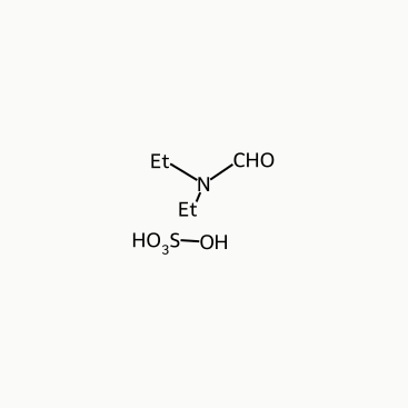 CCN(C=O)CC.O=S(=O)(O)O